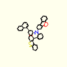 c1cc(-c2cccc3ccccc23)cc(N(c2ccc3c(c2)oc2ccccc23)c2ccccc2-c2cccc3sc4ccccc4c23)c1